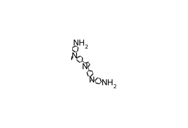 C=CN(c1ccc(N)cc1)c1ccc(-c2ccc(-c3ccc(N(C)c4ccc(N)cc4)cc3)n2C)cc1